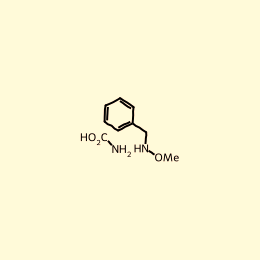 CONCc1ccccc1.NC(=O)O